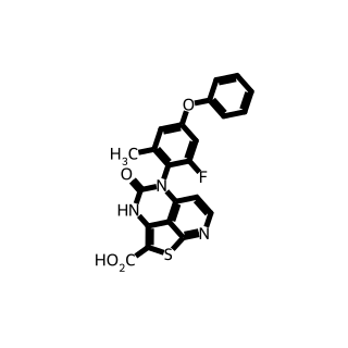 Cc1cc(Oc2ccccc2)cc(F)c1N1C(=O)Nc2c(C(=O)O)sc3nccc1c23